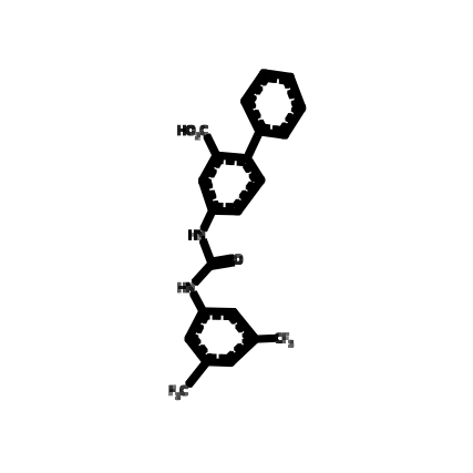 O=C(Nc1cc(C(F)(F)F)cc(C(F)(F)F)c1)Nc1ccc(-c2ccccc2)c(C(=O)O)c1